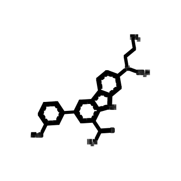 COc1cccc(-c2cc(C(N)=O)c3[nH]c4cc(N(CCN)C(=O)O)ccc4c3c2)c1